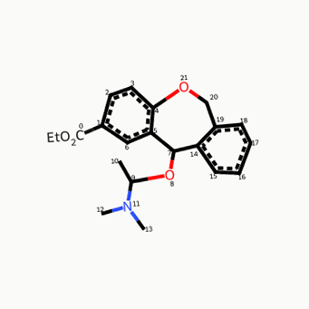 CCOC(=O)c1ccc2c(c1)C(OC(C)N(C)C)c1ccccc1CO2